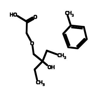 CCC(O)(CC)COCC(=O)O.Cc1ccccc1